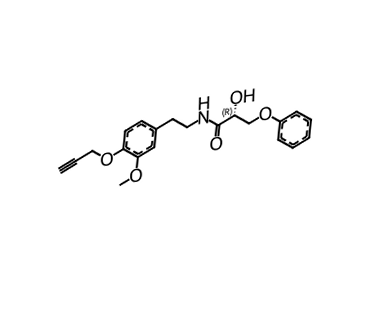 C#CCOc1ccc(CCNC(=O)[C@H](O)COc2ccccc2)cc1OC